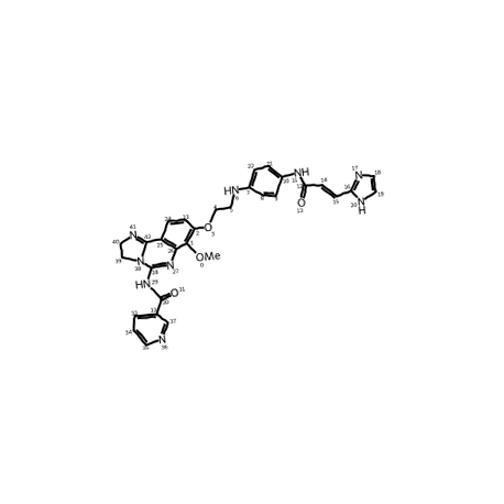 COc1c(OCCNc2ccc(NC(=O)/C=C/c3ncc[nH]3)cc2)ccc2c1N=C(NC(=O)c1cccnc1)N1CCN=C21